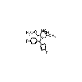 COC[C@H]1CNC(C)CN1C(c1ccc(F)cc1)c1ccc(F)cc1.Cl